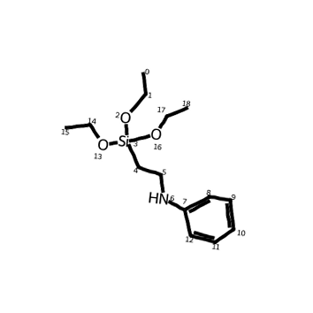 CCO[Si](CCNc1ccccc1)(OCC)OCC